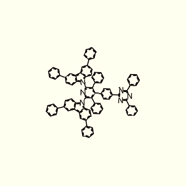 c1ccc(-c2ccc3c(c2)c2cc(-c4ccccc4)ccc2n3-c2nc(-n3c4ccc(-c5ccccc5)cc4c4cc(-c5ccccc5)ccc43)c(-c3ccccc3)c(-c3ccc(-c4nc(-c5ccccc5)nc(-c5ccccc5)n4)cc3)c2-c2ccccc2)cc1